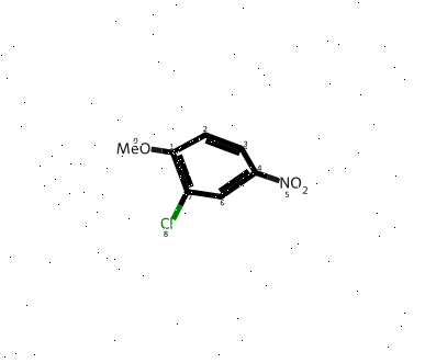 COc1c[c]c([N+](=O)[O-])cc1Cl